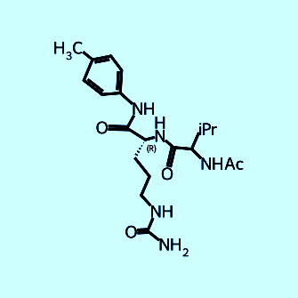 CC(=O)NC(C(=O)N[C@H](CCCNC(N)=O)C(=O)Nc1ccc(C)cc1)C(C)C